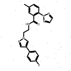 Cc1ccc(-n2nccn2)c(C(=O)NCCn2cc(-c3ccc(F)cc3)cn2)c1